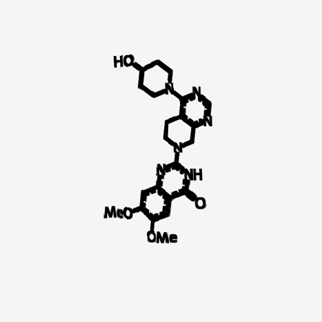 COc1cc2nc(N3CCc4c(ncnc4N4CCC(O)CC4)C3)[nH]c(=O)c2cc1OC